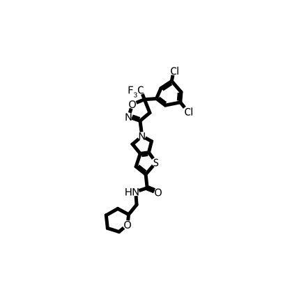 O=C(NCC1CCCCO1)c1cc2c(s1)CN(C1=NOC(c3cc(Cl)cc(Cl)c3)(C(F)(F)F)C1)C2